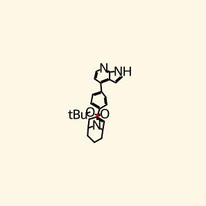 CC(C)(C)OC(=O)N1C2C=C(c3ccc(-c4ccnc5[nH]ccc45)cc3)CC1CCC2